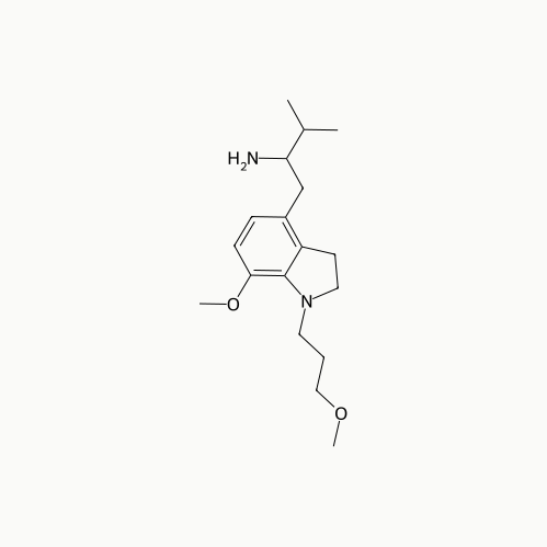 COCCCN1CCc2c(CC(N)C(C)C)ccc(OC)c21